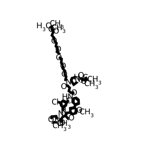 COc1cc2c(cc1-c1cccc(NC(=O)CCC(=O)N(CCOCCOCCOCCOCCOCCC(=O)OC(C)(C)C)C3CCN(C(=O)OC(C)(C)C)CC3)c1)-c1c(c(C(=O)N3CCOCC3(C)C)nn1-c1cc(Cl)cc(Cl)c1)CO2